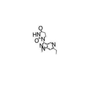 CCc1cc2c(cn1)c(N1CCC(=O)NC1=O)nn2C